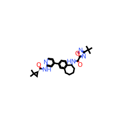 CC(C)(C)c1noc(C(=O)NC2CCCCc3cc(-c4ccnc(NC(=O)[C@@H]5CC5(C)C)c4)ccc32)n1